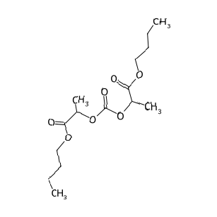 CCCCOC(=O)C(C)OC(=O)OC(C)C(=O)OCCCC